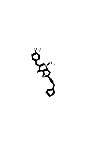 Cn1cc(Cc2ccc(C(=O)O)cc2)c(=O)c2c1CC(C#CCc1ccccc1)N2